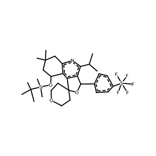 CC(C)c1nc2c(c3c1C(c1ccc(S(F)(F)(F)(F)F)cc1)OC31CCOCC1)C(O[Si](C)(C)C(C)(C)C)CC(C)(C)C2